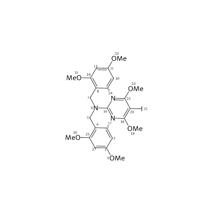 COc1ccc(CN(Cc2ccc(OC)cc2OC)c2nc(OC)c(I)c(OC)n2)c(OC)c1